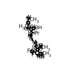 Cc1ncsc1-c1ccc(C2(C)NC(C3CC(O)CC3C(=O)C(c3cc(OCCN4CCC(NC(=O)c5cc6c(cc5CS(C)(=O)=O)-c5cn(C)c(=O)c7[nH]cc(c57)CC6c5ncc(F)cc5F)C4)no3)C(C)C)=NC2=O)cc1